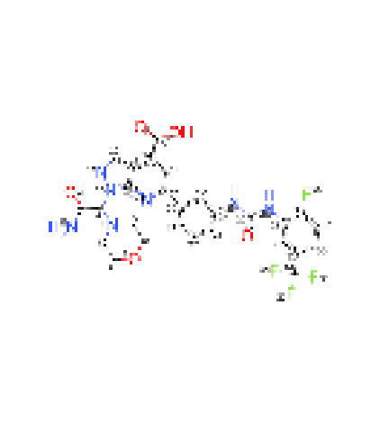 NC(=O)C(N1CCOCC1)n1ncc2c(C(=O)O)cc(-c3cccc(NC(=O)Nc4cc(C(F)(F)F)ccc4F)c3)nc21